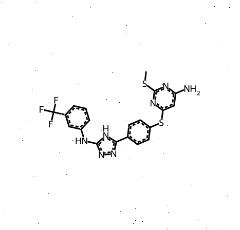 CSc1nc(N)cc(Sc2ccc(-c3nnc(Nc4cccc(C(F)(F)F)c4)[nH]3)cc2)n1